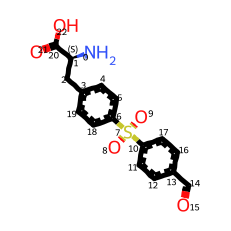 N[C@@H](Cc1ccc(S(=O)(=O)c2ccc(C=O)cc2)cc1)C(=O)O